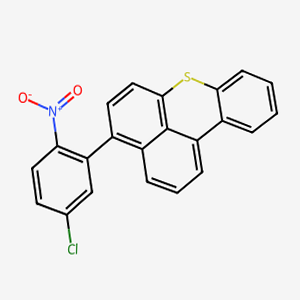 O=[N+]([O-])c1ccc(Cl)cc1-c1ccc2c3c(cccc13)-c1ccccc1S2